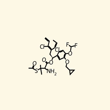 C=C/C(Cl)=C(C[C@H](OC(=O)C(N)C(C)(C)SC(C)=O)c1ccc(OC(F)F)c(OCC2CC2)c1)\C(Cl)=C/C